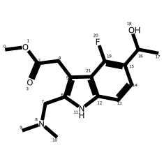 COC(=O)Cc1c(CN(C)C)[nH]c2ccc(C(C)O)c(F)c12